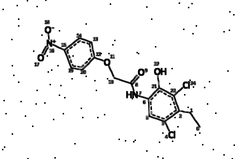 CCc1c(Cl)cc(NC(=O)COc2ccc([N+](=O)[O-])cc2)c(O)c1Cl